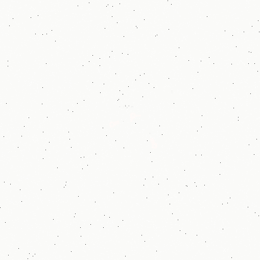 COC(=O)[C@]1(C#Cc2ccccc2)CC(=O)c2ccc(C(F)(F)F)cc2O1